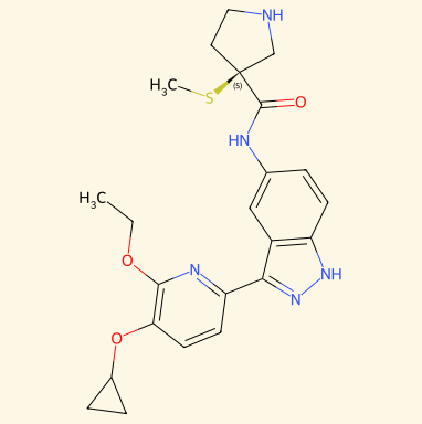 CCOc1nc(-c2n[nH]c3ccc(NC(=O)[C@]4(SC)CCNC4)cc23)ccc1OC1CC1